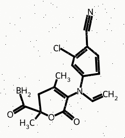 BC(=O)C1(C)CC(C)=C(N(C=C)c2ccc(C#N)c(Cl)c2)C(=O)O1